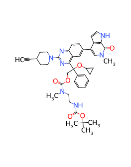 C#CC1CCN(c2nc(C(COC(=O)N(C)CCNC(=O)OC(C)(C)C)(OC3CC3)c3ccccc3)c3cc(-c4cn(C)c(=O)c5[nH]ccc45)ccc3n2)CC1